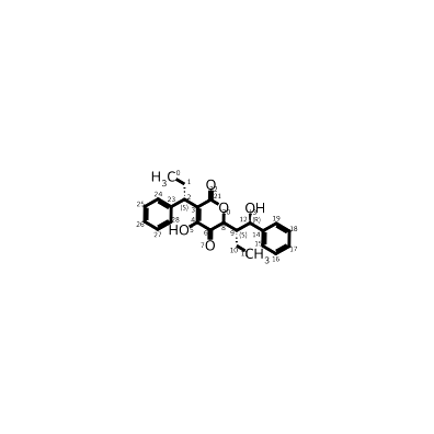 CC[C@H](C1=C(O)C(=O)C([C@@H](CC)[C@@H](O)c2ccccc2)OC1=O)c1ccccc1